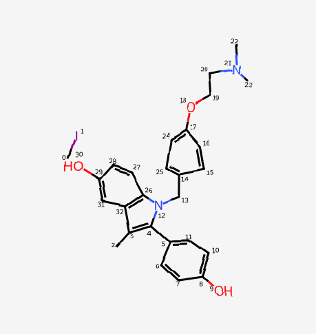 CI.Cc1c(-c2ccc(O)cc2)n(Cc2ccc(OCCN(C)C)cc2)c2ccc(O)cc12